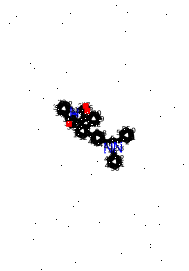 c1ccc(-c2cc(-c3ccc(-c4cccc5c4-c4ccccc4C54c5ccccc5-n5c6ccccc6c6cccc4c65)cc3)nc(-c3ccccc3)n2)cc1